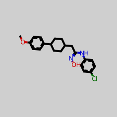 COc1ccc(C2CCC(CC(=NO)Nc3ccc(Cl)cc3)CC2)cc1